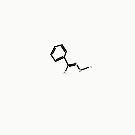 CCON=C(CC)c1cc[c]cc1